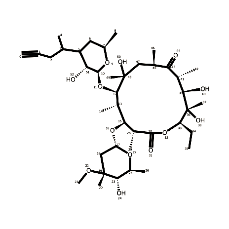 C#CCC(C)C1C[C@@H](C)O[C@@H](O[C@@H]2[C@@H](C)[C@H](O[C@H]3C[C@@](C)(OC)[C@@H](O)[C@H](C)O3)[C@@H](C)C(=O)O[C@H](CC)[C@@](C)(O)[C@H](O)[C@@H](C)C(=O)[C@H](C)C[C@@]2(C)O)[C@@H]1O